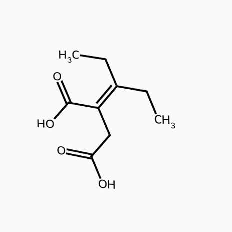 CCC(CC)=C(CC(=O)O)C(=O)O